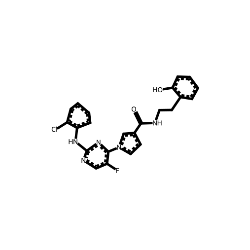 O=C(NCCc1ccccc1O)c1ccn(-c2nc(Nc3ccccc3Cl)ncc2F)c1